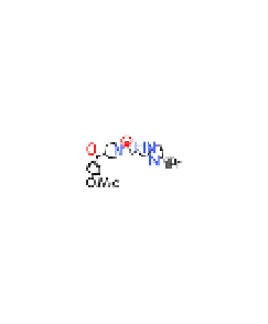 COc1ccc(C(=O)C2CCN(C(=O)CCCC3N=C(C(C)C)C=CN3)CC2)cc1